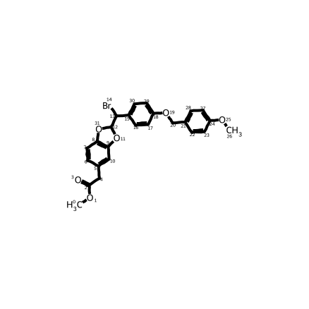 COC(=O)Cc1ccc2c(c1)OC(C(Br)c1ccc(OCc3ccc(OC)cc3)cc1)O2